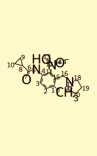 Cc1ccc(NC(=O)C2CC2)c([N+](=O)[O-])c1CN1CCCC1